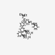 CCN(CC)CCOC1(c2ccccc2)CCN(CCNc2ccccc2)CC1.O=S(=O)(O)NC1CCCCC1.O=S(=O)(O)NC1CCCCC1